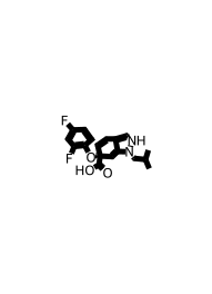 CC(C)CN1NC=C2C=C[C@@](Oc3ccc(F)cc3F)(C(=O)O)C=C21